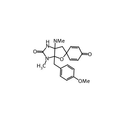 CNC12CC3(C=CC(=O)C=C3)OC1(Cc1ccc(OC)cc1)N(C)C(=O)N2